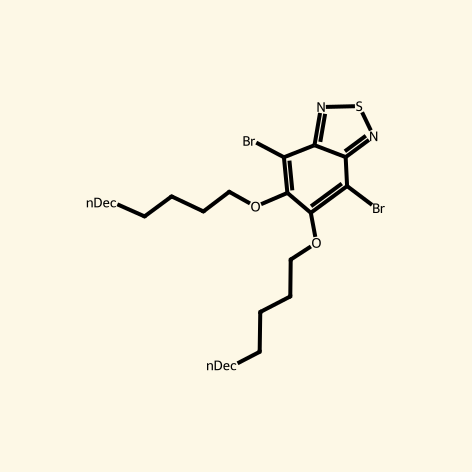 CCCCCCCCCCCCCCOc1c(OCCCCCCCCCCCCCC)c(Br)c2nsnc2c1Br